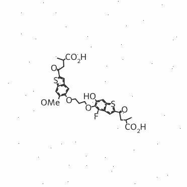 COc1cc2sc(C(=O)CC(C)C(=O)O)cc2cc1OCCCOc1c(O)cc2sc(C(=O)CC(C)C(=O)O)cc2c1F